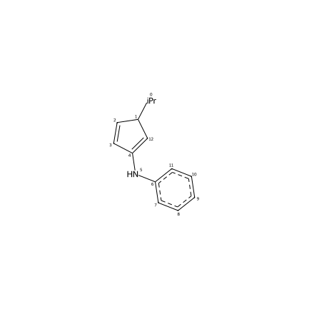 CC(C)C1C=CC(Nc2ccccc2)=C1